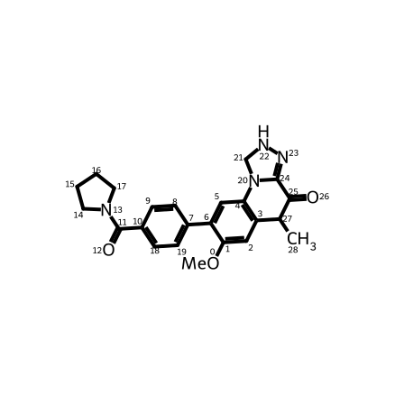 COc1cc2c(cc1-c1ccc(C(=O)N3CCCC3)cc1)N1CNN=C1C(=O)C2C